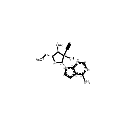 C#C[C@@]1(O)[C@H](OC(C)=O)[C@@H](COC(C)=O)O[C@H]1n1ccc2c(N)ncnc21